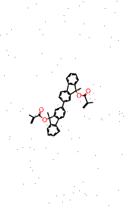 C=C(C)C(=O)OC1(C)c2ccccc2-c2ccc(-c3ccc4c(c3)C(C)(OC(=O)C(=C)C)c3ccccc3-4)cc21